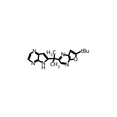 CC(C)(C)c1cc2nc(C(C)(C)c3cc4nccnc4[nH]3)cnc2o1